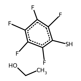 CCO.Fc1c(F)c(F)c(S)c(F)c1F